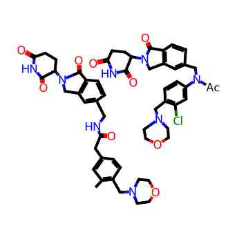 CC(=O)N(Cc1ccc2c(c1)CN(C1CCC(=O)NC1=O)C2=O)c1ccc(CN2CCOCC2)c(Cl)c1.Cc1cc(CC(=O)NCc2ccc3c(c2)CN(C2CCC(=O)NC2=O)C3=O)ccc1CN1CCOCC1